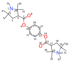 CN1C(C)(C)CC(C(=O)Oc2ccc(OC(=O)C3CC(C)(C)N(C)C3(C)C)cc2)C1(C)C